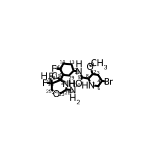 COC1CC(Br)CNC1C(O)NC1CCC(F)C(C2(C)NC(N)COCC2(F)F)C1